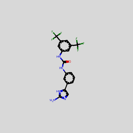 Nc1ncc(-c2cccc(NC(=O)Nc3cc(C(F)(F)F)cc(C(F)(F)F)c3)c2)[nH]1